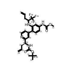 C=CCC(Nc1cc(NC(=O)OC)ccc1-c1ccnc([C@H](CC=C)NC(=O)OC(C)(C)C)c1)C(F)(F)F